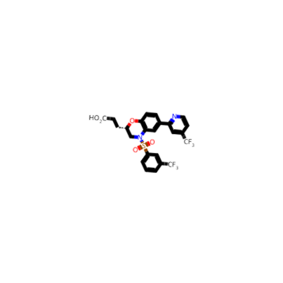 O=C(O)CC[C@H]1CN(S(=O)(=O)c2cccc(C(F)(F)F)c2)c2cc(-c3cc(C(F)(F)F)ccn3)ccc2O1